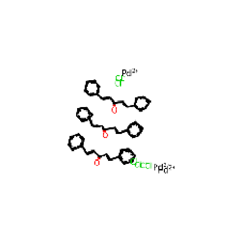 O=C(C=Cc1ccccc1)C=Cc1ccccc1.O=C(C=Cc1ccccc1)C=Cc1ccccc1.O=C(C=Cc1ccccc1)C=Cc1ccccc1.[Cl-].[Cl-].[Cl-].[Cl-].[Cl-].[Cl-].[Pd+2].[Pd+2].[Pd+2]